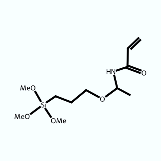 C=CC(=O)NC(C)OCCC[Si](OC)(OC)OC